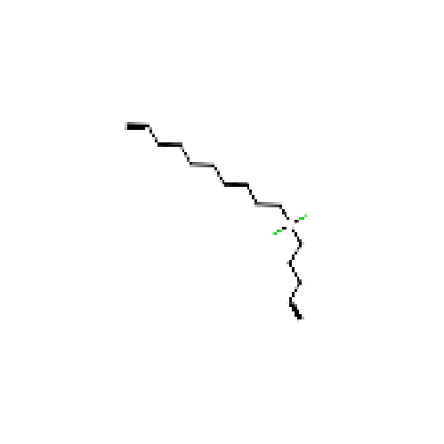 C=CCCCCCCCC[Si](Cl)(Cl)CCCC=C